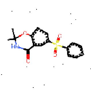 CC1(C)NC(=O)c2cc(S(=O)(=O)c3ccccc3)ccc2O1